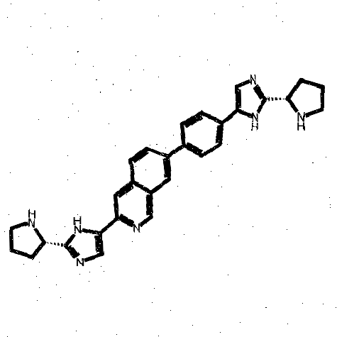 c1cc(-c2cnc([C@@H]3CCCN3)[nH]2)ccc1-c1ccc2cc(-c3cnc([C@@H]4CCCN4)[nH]3)ncc2c1